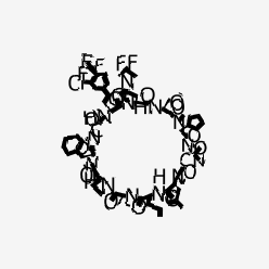 CC[C@H](C)[C@@H]1NC(=O)[C@H](CC(C)C)N(C)C(=O)C[C@@H](C(=O)N(C)C)N(C)C(=O)[C@H](C2CCCC2)N(C)C(=O)[C@H](COC)NC(=O)[C@H](CC(=O)N2CC(F)(F)C2)N(C)C(=O)[C@H](CCc2ccc(C(F)(F)F)c(Cl)c2)NC(=O)CN(C)C(=O)[C@H](CC2CCCCC2)N(C)C(=O)[C@@H]2CCN2C(=O)[C@H](C)N(C)C1=O